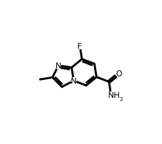 Cc1cn2cc(C(N)=O)cc(F)c2n1